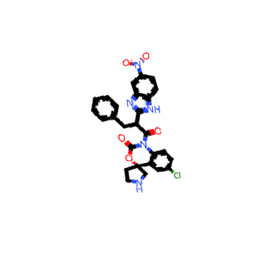 O=C1OC2(CCNC2)c2cc(Cl)ccc2N1C(=O)C(Cc1ccccc1)c1nc2cc([N+](=O)[O-])ccc2[nH]1